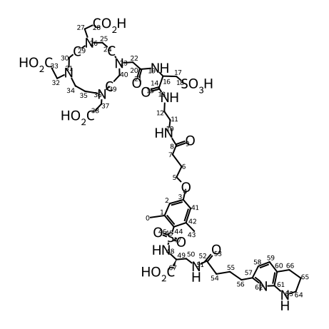 Cc1cc(OCCCC(=O)NCCNC(=O)C(CS(=O)(=O)O)NC(=O)CN2CCN(CC(=O)O)CCN(CC(=O)O)CCN(CC(=O)O)CC2)cc(C)c1S(=O)(=O)N[C@@H](CNC(=O)CCCc1ccc2c(n1)NCCC2)C(=O)O